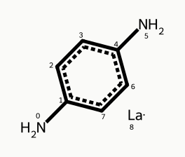 Nc1ccc(N)cc1.[La]